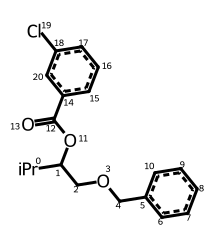 CC(C)C(COCc1ccccc1)OC(=O)c1cccc(Cl)c1